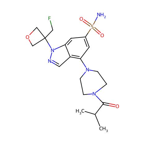 CC(C)C(=O)N1CCN(c2cc(S(N)(=O)=O)cc3c2cnn3C2(CF)COC2)CC1